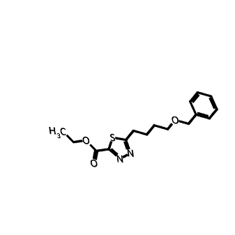 CCOC(=O)c1nnc(CCCCOCc2ccccc2)s1